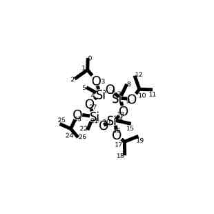 CC(C)O[Si]1(C)O[Si](C)(OC(C)C)O[Si](C)(OC(C)C)O[Si](C)(OC(C)C)O1